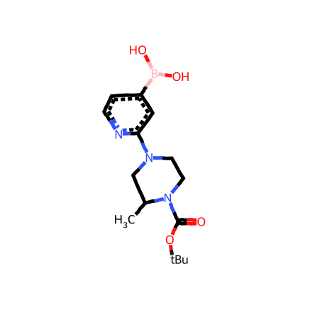 CC1CN(c2cc(B(O)O)ccn2)CCN1C(=O)OC(C)(C)C